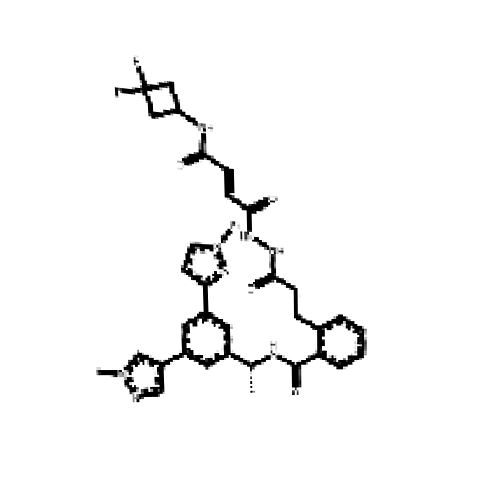 CCn1ccc(-c2cc(-c3cnn(C)c3)cc([C@@H](C)NC(=O)c3ccccc3CCC(=O)NNC(=O)/C=C/C(=O)NC3CC(F)(F)C3)c2)n1